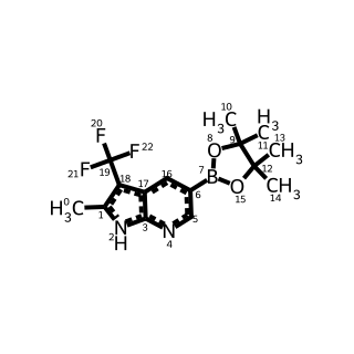 Cc1[nH]c2ncc(B3OC(C)(C)C(C)(C)O3)cc2c1C(F)(F)F